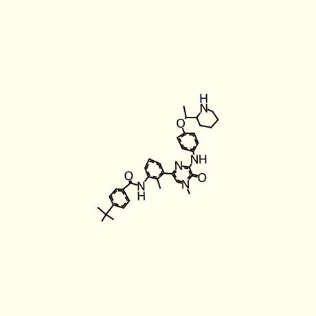 Cc1c(NC(=O)c2ccc(C(C)(C)C)cc2)cccc1-c1cn(C)c(=O)c(Nc2ccc(OC(C)C3CCCCN3)cc2)n1